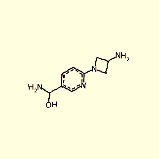 NC1CN(c2ccc(C(N)O)cn2)C1